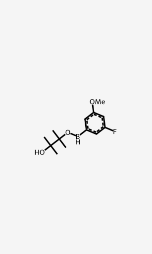 COc1cc(F)cc(BOC(C)(C)C(C)(C)O)c1